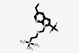 C[Si](C)(C)CCOCn1c(C(F)(F)F)cc2cc(CI)cnc21